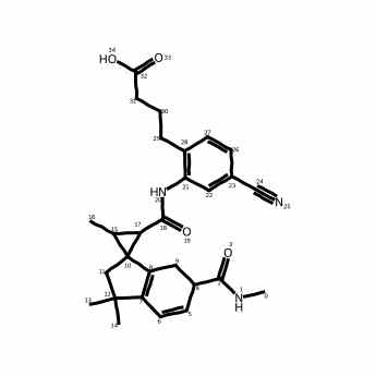 CNC(=O)C1C=CC2=C(C1)C1(CC2(C)C)C(C)C1C(=O)Nc1cc(C#N)ccc1CCCC(=O)O